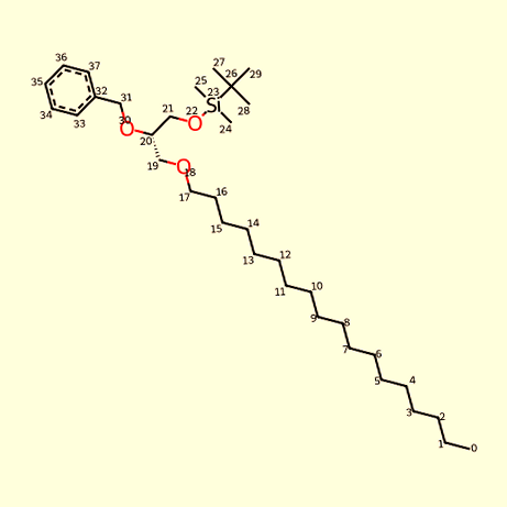 CCCCCCCCCCCCCCCCCCOC[C@@H](CO[Si](C)(C)C(C)(C)C)OCc1ccccc1